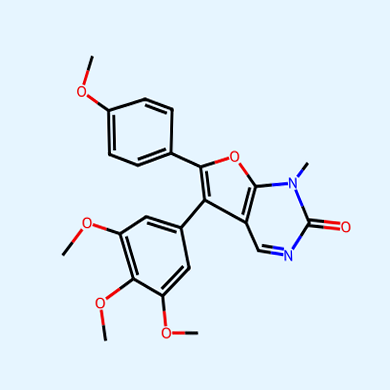 COc1ccc(-c2oc3c(cnc(=O)n3C)c2-c2cc(OC)c(OC)c(OC)c2)cc1